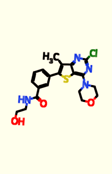 Cc1c(-c2cccc(C(=O)NCCO)c2)sc2c(N3CCOCC3)nc(Cl)nc12